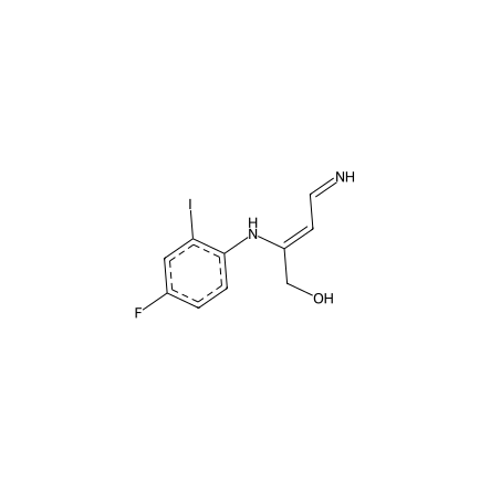 N=C/C=C(/CO)Nc1ccc(F)cc1I